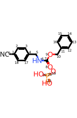 N#Cc1ccc(CNC(=O)OCc2ccccc2)cc1.O=[PH](O)O